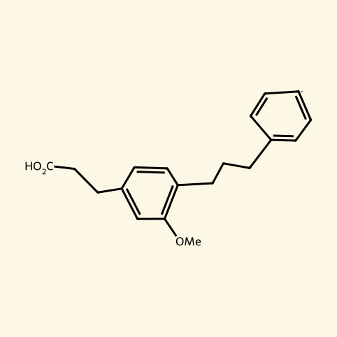 COc1cc(CCC(=O)O)ccc1CCCc1cc[c]cc1